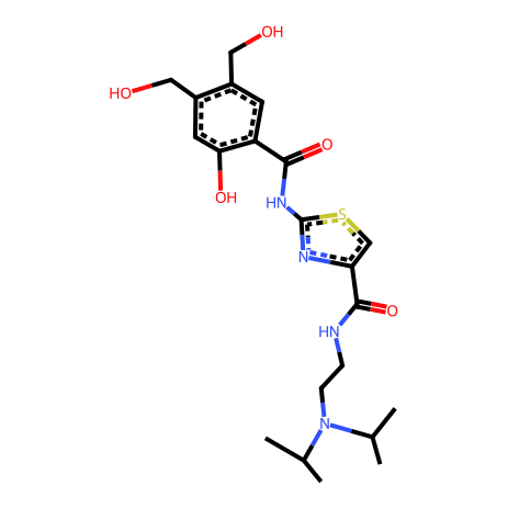 CC(C)N(CCNC(=O)c1csc(NC(=O)c2cc(CO)c(CO)cc2O)n1)C(C)C